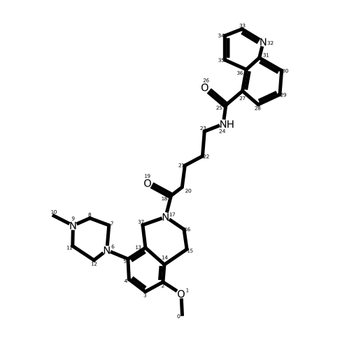 COc1ccc(N2CCN(C)CC2)c2c1CCN(C(=O)CCCCNC(=O)c1cccc3ncccc13)C2